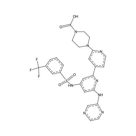 O=C(O)N1CCN(c2cc(-c3cc(NS(=O)(=O)c4cccc(C(F)(F)F)c4)cc(Nc4cnccn4)n3)ccn2)CC1